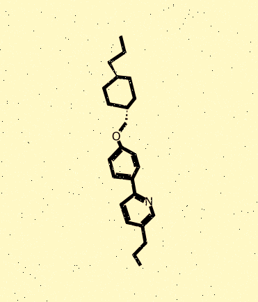 CCCc1ccc(-c2ccc(OC[C@H]3CC[C@H](CCC)CC3)cc2)nc1